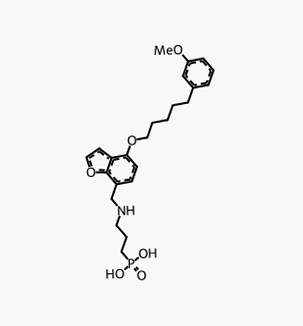 COc1cccc(CCCCCOc2ccc(CNCCCP(=O)(O)O)c3occc23)c1